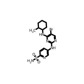 CC1CCCCC1Nc1nc(Nc2ccc(S(N)(=O)=O)nc2)ncc1Br